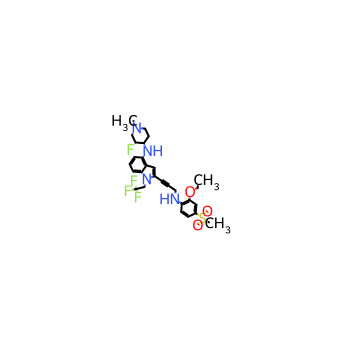 CCOc1cc(S(C)(=O)=O)ccc1NCC#Cc1cc2c(N[C@H]3CCN(C)C[C@H]3F)cccc2n1CC(F)(F)F